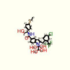 CCSc1ccc(C(CO)NC(=O)c2ccc3c(c2)cc(Cc2ccc(Cl)cc2C(F)(F)F)n3C(O)(O)C(O)O)cc1